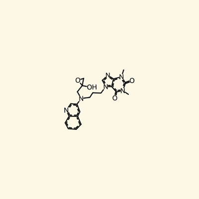 Cn1c(=O)c2c(ncn2CCCN(CC2(O)CO2)c2cnc3ccccc3c2)n(C)c1=O